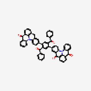 O=C(c1ccccc1)c1cc(-c2ccc3c(c2)c(=O)c2cccc4c(=O)c5ccccc5n3c42)c(C(=O)c2ccccc2)cc1-c1ccc2c(c1)Cc1cccc3c(=O)c4ccccc4n-2c13